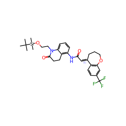 CC(C)(C)[Si](C)(C)OCCN1C(=O)CCc2c(NC(=O)/C=C3\CCCOc4cc(C(F)(F)F)ccc43)cccc21